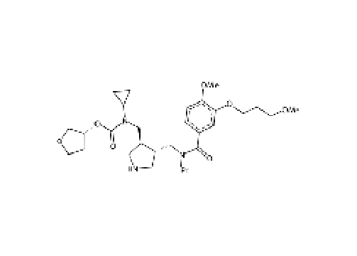 COCCCOc1cc(C(=O)N(C[C@@H]2CNC[C@H]2CN(C(=O)O[C@@H]2CCOC2)C2CC2)C(C)C)ccc1OC